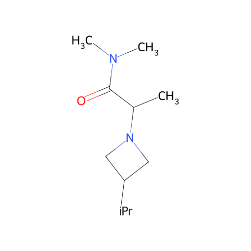 CC(C)C1CN(C(C)C(=O)N(C)C)C1